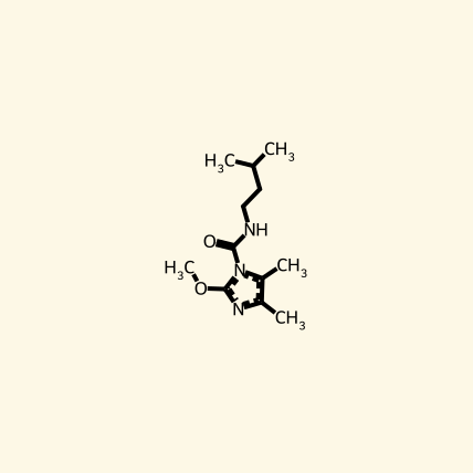 COc1nc(C)c(C)n1C(=O)NCCC(C)C